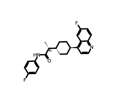 C[C@@H](C(=O)Nc1ccc(F)cc1)[C@H]1CC[C@H](c2ccnc3ccc(F)cc32)CC1